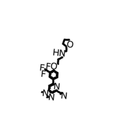 Cn1cnc2c(C#N)nc(-c3ccc(OCCCNCC4CCCO4)c(C(F)(F)F)c3)cc21